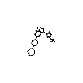 FC(F)(F)c1csc(-c2c[nH]c3ncc(C4CCC(N5CCCOCC5)CC4)cc23)n1